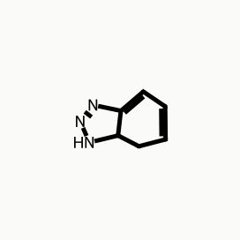 C1=CCC2NN=NC2=C1